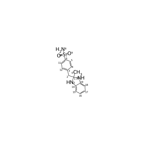 CC1(Cc2ccc(S(N)(=O)=O)cc2)Nc2ccccc2N1